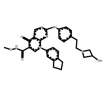 CONC(=O)c1cn(-c2ccc3c(c2)CCC3)c2nc(Nc3ccc(CCN4CC(O)C4)cc3)ncc2c1=O